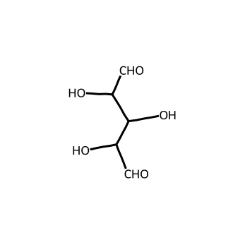 O=CC(O)C(O)C(O)C=O